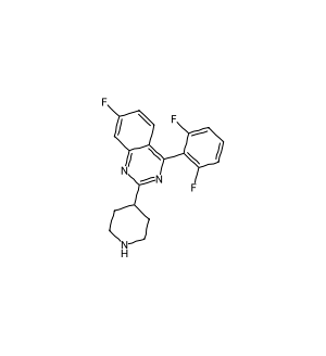 Fc1ccc2c(-c3c(F)cccc3F)nc(C3CCNCC3)nc2c1